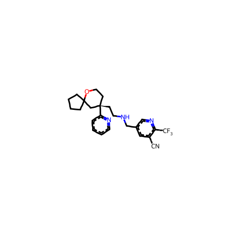 N#Cc1cc(CNCC[C@]2(c3ccccn3)CCOC3(CCCC3)C2)cnc1C(F)(F)F